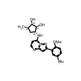 [CH2][C@@H]1C[C@@H](Nc2ccnc3cc(-c4cc(C(C)(C)C)ccc4OC)nn23)[C@H](O)[C@@H]1O